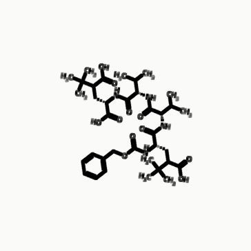 CC(C)[C@H](NC(=O)[C@H](CC(C(=O)O)C(C)(C)C)NC(=O)OCc1ccccc1)C(=O)N[C@H](C(=O)N[C@@H](CC(C(=O)O)C(C)(C)C)C(=O)O)C(C)C